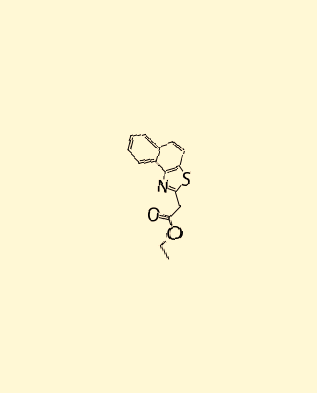 CCOC(=O)Cc1nc2c(ccc3ccccc32)s1